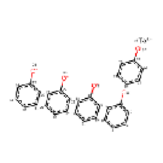 [O-]c1ccccc1.[O-]c1ccccc1.[O-]c1ccccc1.[O-]c1ccccc1.[O-]c1ccccc1.[Ta+5]